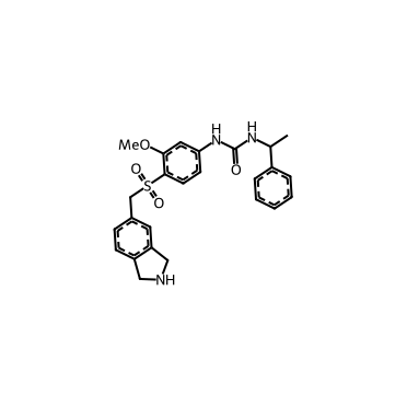 COc1cc(NC(=O)NC(C)c2ccccc2)ccc1S(=O)(=O)Cc1ccc2c(c1)CNC2